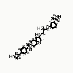 CNS(=O)(=O)c1cccc(OC[C@@H](O)CNC2COC3(CCN(S(=O)(=O)c4ccc(-c5nn[nH]n5)cc4)CC3)C2)c1